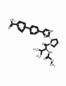 COC(=O)N[C@H](C(=O)N1CCC[C@H]1c1nc(-c2ccc(-c3ccc(C(C)=O)cc3)cc2)c[nH]1)C(C)C